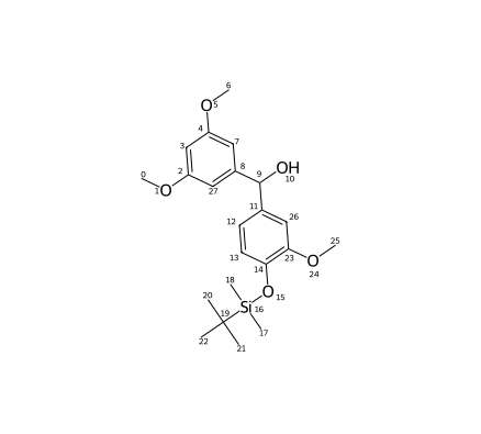 COc1cc(OC)cc(C(O)c2ccc(O[Si](C)(C)C(C)(C)C)c(OC)c2)c1